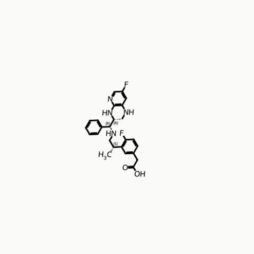 C[C@H](CN[C@H](c1ccccc1)[C@H]1CNc2cc(F)cnc2N1)c1cc(CC(=O)O)ccc1F